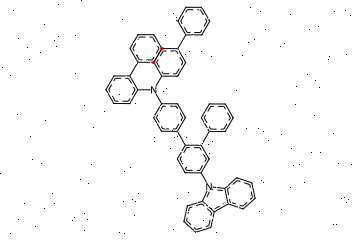 c1ccc(-c2ccc(N(c3ccc(-c4ccc(-n5c6ccccc6c6ccccc65)cc4-c4ccccc4)cc3)c3ccccc3-c3ccccc3)cc2)cc1